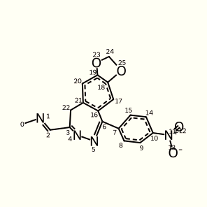 CN=CC1=NN=C(c2ccc([N+](=O)[O-])cc2)c2cc3c(cc2C1)OCO3